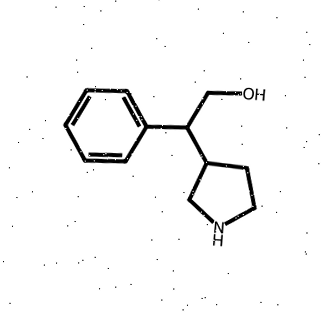 OCC(c1ccccc1)C1CCNC1